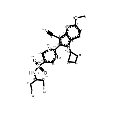 COc1ccc2c(n1)c(C#N)c(-c1ncc(S(=O)(=O)NC(CF)CF)cn1)n2C1CCC1